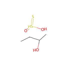 CCC(C)O.O=[SH](O)=S